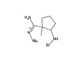 CCNC1CCCC1(C)/C(N)=N\C(C)(C)C